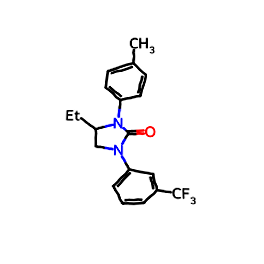 CCC1CN(c2cccc(C(F)(F)F)c2)C(=O)N1c1ccc(C)cc1